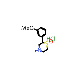 COc1cccc(C2CN(C)CC[S+]2[O-])c1.Cl